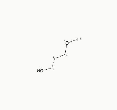 OCCCOI